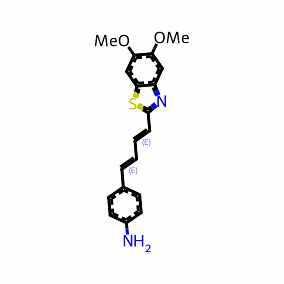 COc1cc2nc(/C=C/C=C/c3ccc(N)cc3)sc2cc1OC